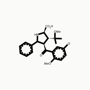 COc1ccc(Cl)cc1C(=O)[C@H]1C(c2ccccc2)N[C@@H](C(=O)O)[C@@H]1C(C)(C)OC